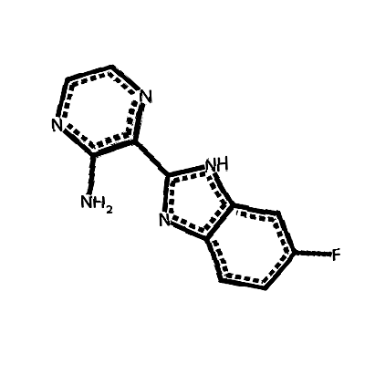 Nc1nccnc1-c1nc2ccc(F)cc2[nH]1